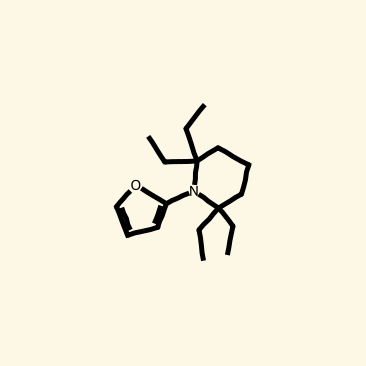 CCC1(CC)CCCC(CC)(CC)N1c1ccco1